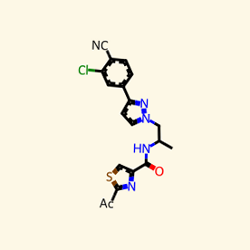 CC(=O)c1nc(C(=O)NC(C)Cn2ccc(-c3ccc(C#N)c(Cl)c3)n2)cs1